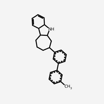 Cc1cccc(-c2cccc(C3CCCC4C(C3)NC3C=CC=CC34)c2)c1